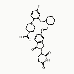 O=C1CCC(N2Cc3cc(OC[C@H]4CCCCN4Cc4cc(F)ccc4N4CCN(C(=O)O)CC4)ccc3C2=O)C(=O)N1